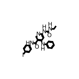 CCNC(=O)Nc1cc(Nc2ccccc2)c(C(=O)Nc2ccc(I)cc2)cn1